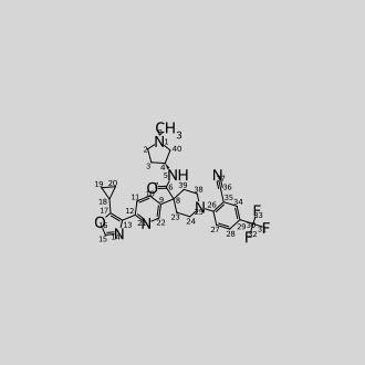 CN1CC[C@H](NC(=O)C2(c3ccc(-c4ncoc4C4CC4)nc3)CCN(c3ccc(C(F)(F)F)cc3C#N)CC2)C1